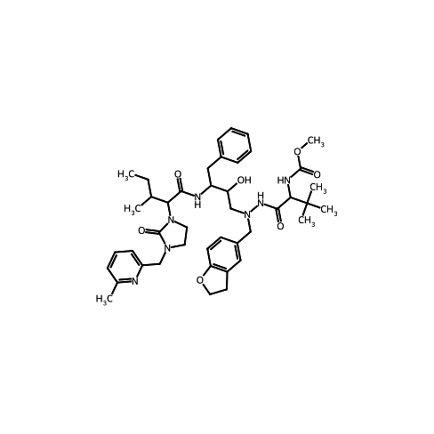 CCC(C)C(C(=O)NC(Cc1ccccc1)C(O)CN(Cc1ccc2c(c1)CCO2)NC(=O)C(NC(=O)OC)C(C)(C)C)N1CCN(Cc2cccc(C)n2)C1=O